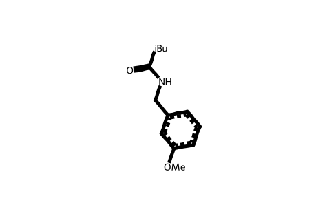 CCC(C)C(=O)NCc1cccc(OC)c1